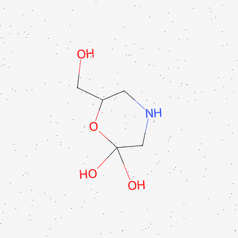 OCC1CNCC(O)(O)O1